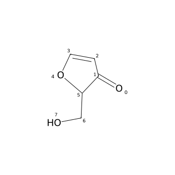 O=C1C=COC1CO